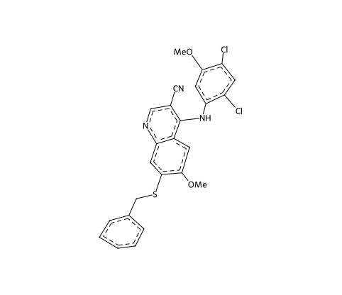 COc1cc(Nc2c(C#N)cnc3cc(SCc4ccccc4)c(OC)cc23)c(Cl)cc1Cl